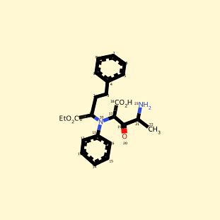 CCOC(=O)C(CCc1ccccc1)N(c1ccccc1)C(C(=O)O)C(=O)C(C)N